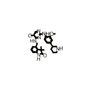 COc1cc(C2CCCNC2)ccc1Nc1ncc(Cl)c(NCc2cccc3c2C(C)(C)C(=O)N3)n1